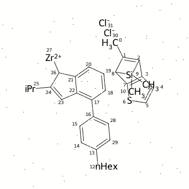 CC1=C2c3ccsc3C1[Si]2(C)C.CCCCCCc1ccc(-c2cccc3c2C=C(C(C)C)[CH]3[Zr+2])cc1.[Cl-].[Cl-]